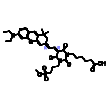 CCN(CC)c1ccc2c(c1)OC1=C/C(=C/C=C3/C(=O)N(CCCCCC(=O)O)C(=O)N(CCCS(=O)(=O)OC)C3=O)CC(C)(C)C1=C2